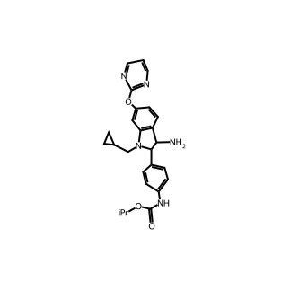 CC(C)OC(=O)Nc1ccc(C2C(N)c3ccc(Oc4ncccn4)cc3N2CC2CC2)cc1